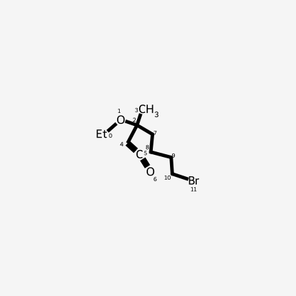 CCOC(C)(C=C=O)CCCCBr